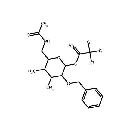 CC(=O)NCC1OC(OC(=N)C(Cl)(Cl)Cl)C(OCc2ccccc2)C(C)C1C